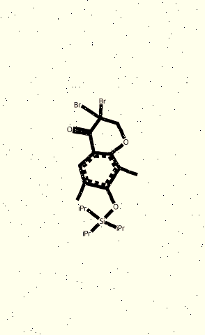 Cc1cc2c(c(C)c1O[Si](C(C)C)(C(C)C)C(C)C)OCC(Br)(Br)C2=O